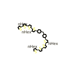 CCCCCCc1ccsc1-c1ccc(-c2ccc(-c3sc(-c4ccc(Cc5ccc(-c6cc(CCCCCC)c(-c7ccc(-c8ccc(-c9sccc9CCCCCC)s8)s7)s6)cc5)cc4)cc3CCCCCC)s2)s1